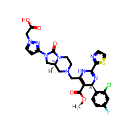 COC(=O)C1=C(CN2CCN3C(=O)N(c4ccn(CC(=O)O)n4)C[C@@H]3C2)NC(c2nccs2)=N[C@H]1c1ccc(F)cc1Cl